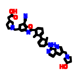 Cc1c(Nc2nccc3cc(CN4CC[C@@H](O)C4)cnc23)cccc1-c1cccc(-c2nc3cc(CN4CC[C@@H](CC(=O)O)C4)cc(C#N)c3o2)c1C